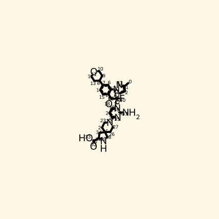 Cc1ccn(-c2cc(C3CCOCC3)ccc2[C@@H](Oc2cc(N3CCC4(CC3)CNC(C(=O)O)C4)nc(N)n2)C(F)(F)F)n1